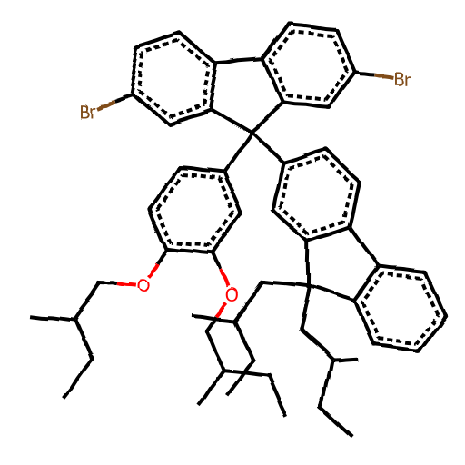 CCC(C)COc1ccc(C2(c3ccc4c(c3)C(CC(C)CC)(CC(C)CC)c3ccccc3-4)c3cc(Br)ccc3-c3ccc(Br)cc32)cc1OCC(C)CC